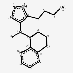 CN(c1nn[nH]c1CCCO)C1CCCc2cccnc21